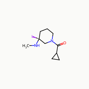 CN[C@]1(I)CCCN(C(=O)C2CC2)C1